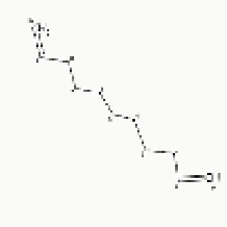 [CH]=CCCCCCCCC=C